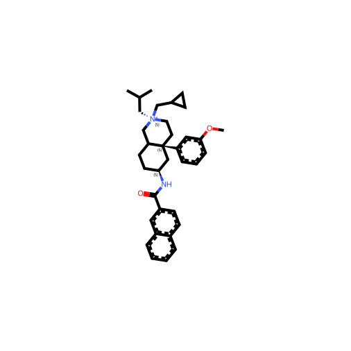 COc1cccc([C@]23CC[N@+](CC(C)C)(CC4CC4)CC2CC[C@H](NC(=O)c2ccc4ccccc4c2)C3)c1